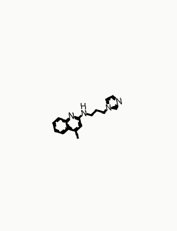 Cc1cc(NCCCn2ccnc2)nc2ccccc12